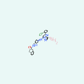 Bc1cnn2c(NCc3ccc(CNC(=O)C4CCc5ccccc5C4)cc3)cc(-c3ccccc3Cl)nc12